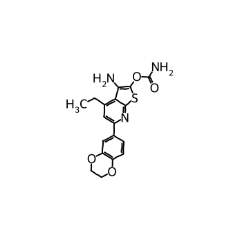 CCc1cc(-c2ccc3c(c2)OCCO3)nc2sc(OC(N)=O)c(N)c12